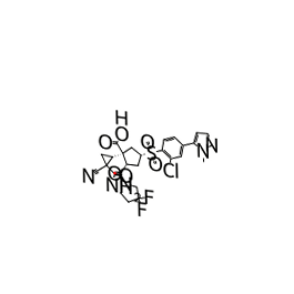 Cn1nccc1-c1ccc(S(=O)(=O)[C@@H]2C[C@@H](C(=O)N3CCC(F)(F)C3)[C@](C(=O)O)(C3CC3(C#N)C(N)=O)C2)c(Cl)c1